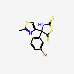 Cc1nc(C2(c3cccc(Br)c3)NC(=S)SC2=S)cs1